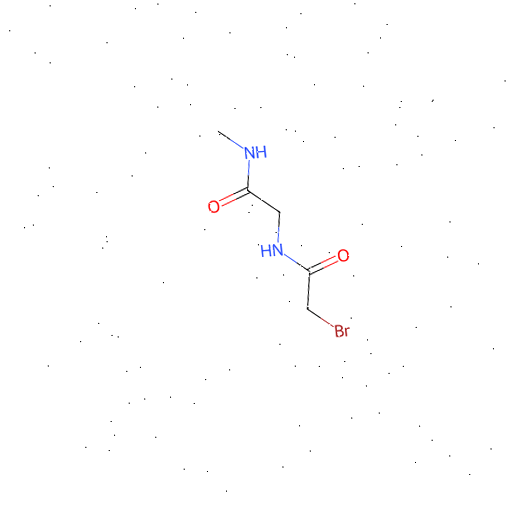 CNC(=O)CNC(=O)CBr